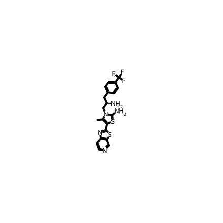 CC1=C(c2nc3ccncc3s2)SC(N)N1C[C@H](N)Cc1ccc(C(F)(F)F)cc1